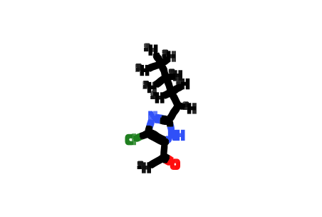 [2H]C(=O)c1[nH]c(C([2H])C([2H])([2H])C([2H])([2H])C([2H])([2H])[2H])nc1Cl